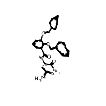 NC(=O)C[C@H](NC(=O)c1cccc(OCc2ccccc2)c1OCc1ccccc1)C(N)=O